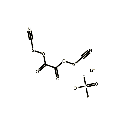 N#CSOC(=O)C(=O)OSC#N.O=P([O-])(F)F.[Li+]